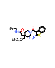 CCOC(=O)CC1(CC(=O)NCC(C)C)CCN(C(=O)c2c(N)sc3ccccc23)CC1